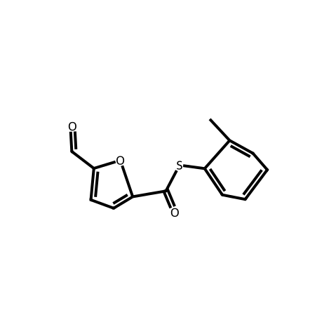 Cc1ccccc1SC(=O)c1ccc(C=O)o1